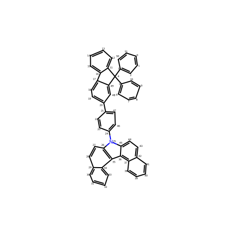 c1ccc(C2(c3ccccc3)c3ccccc3-c3ccc(-c4ccc(-n5c6ccc7ccccc7c6c6c7ccccc7ccc65)cc4)cc32)cc1